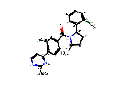 COc1nccc(-c2ccc(C(=O)N3C(C(=O)O)CCC3c3ccccc3Cl)cc2Cl)n1